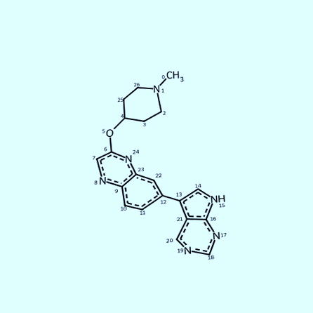 CN1CCC(Oc2cnc3ccc(-c4c[nH]c5ncncc45)cc3n2)CC1